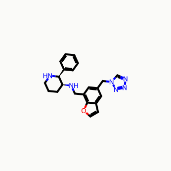 c1ccc([C@@H]2NCCC[C@@H]2NCc2cc(Cn3cnnn3)cc3ccoc23)cc1